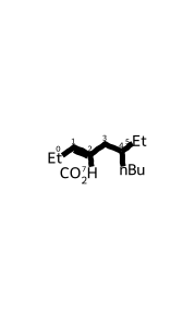 CC/C=C(/CC(CC)CCCC)C(=O)O